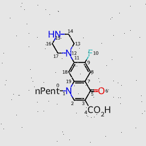 CCCCCn1cc(C(=O)O)c(=O)c2cc(F)c(N3CCNCC3)cc21